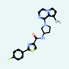 Cc1ccn2ccnc(N3CCC(NC(=O)c4csc(-c5ccc(F)cc5)n4)C3)c12